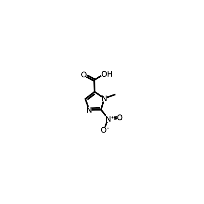 Cn1c(C(=O)O)cnc1[N+](=O)[O-]